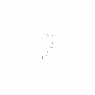 CN(c1cccc(N2CC[C@@](O)(C(=O)NCc3cc(F)cc(Cl)c3)C2=O)c1)S(C)(=O)=O